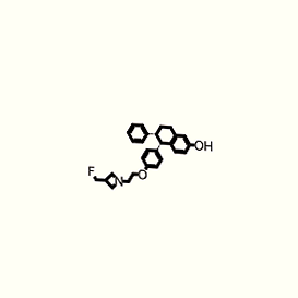 Oc1ccc2c(c1)CC[C@@H](c1ccccc1)[C@H]2c1ccc(OCCN2CC(CF)C2)cc1